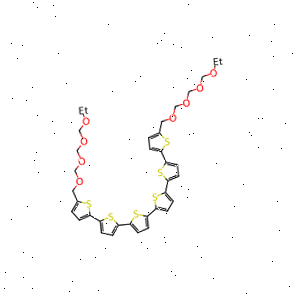 CCOCOCOCOCc1ccc(-c2ccc(-c3ccc(-c4ccc(-c5ccc(-c6ccc(COCOCOCOCC)s6)s5)s4)s3)s2)s1